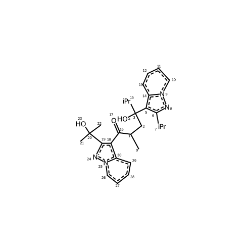 CC(CC(O)(c1c(C(C)C)nn2ccccc12)C(C)C)C(=O)c1c(C(C)(C)O)nn2ccccc12